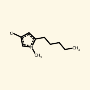 CCCCCc1cc(Cl)cn1C